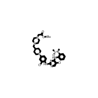 CN(c1ccccc1Nc1nc(Nc2ccc(N3CCC(CN4CCN(CC(=O)OC(C)(C)C)CC4)CC3)cc2Cl)ncc1Cl)[S+](C)[O-]